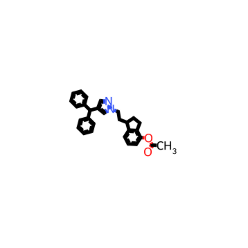 CC(=O)Oc1cccc2c1CCC2CCn1cc(C(c2ccccc2)c2ccccc2)cn1